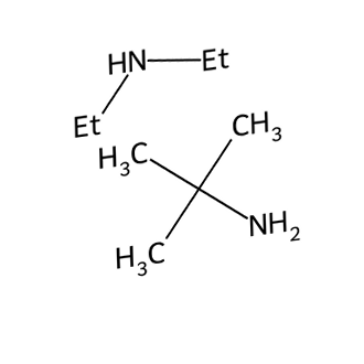 CC(C)(C)N.CCNCC